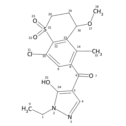 CCn1ncc(C(=O)c2cc(Cl)c3c(c2C)C(OC)CCS3(=O)=O)c1O